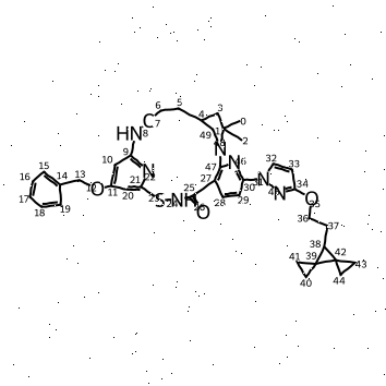 CC1(C)CC2CCCNc3cc(OCc4ccccc4)cc(n3)SNC(=O)c3ccc(-n4ccc(OCCC5C6(CC6)C56CC6)n4)nc3N1C2